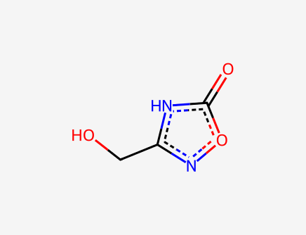 O=c1[nH]c(CO)no1